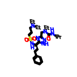 CCN(CC)CCCS(=O)(=O)N[C@H](CCc1ccccc1)c1nc(CN(CC)C(=O)NC(C)C)n[nH]1